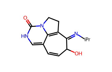 CC(C)N=C1C2=C3C(=CNC(=O)N3CC2)C=CC1O